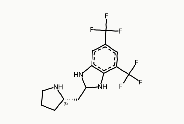 FC(F)(F)c1cc2c(c(C(F)(F)F)c1)NC(C[C@@H]1CCCN1)N2